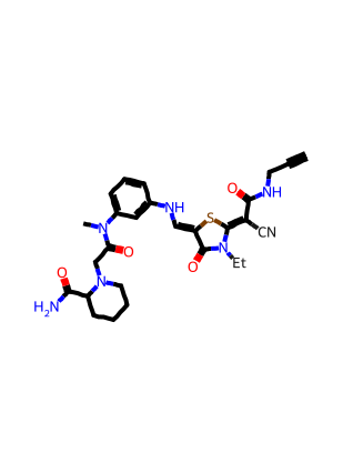 C#CCNC(=O)C(C#N)=c1sc(=CNc2cccc(N(C)C(=O)CN3CCCCC3C(N)=O)c2)c(=O)n1CC